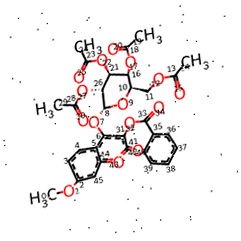 COc1ccc2c(O[C@H]3O[C@H](COC(C)=O)[C@H](OC(C)=O)[C@H](OC(C)=O)[C@H]3OC(C)=O)c(OC(=O)c3ccccc3)c(=O)oc2c1